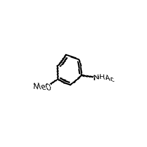 [CH2]Oc1cccc(NC(C)=O)c1